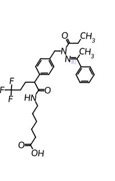 CCC(=O)N(Cc1ccc(C(CCC(F)(F)F)C(=O)NCCCCCC(=O)O)cc1)/N=C(\C)c1ccccc1